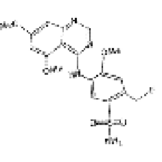 COc1cc(OC)c2c(Nc3cc(S(N)(=O)=O)c(CF)cc3OC)ncnc2c1